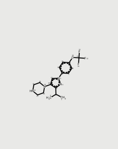 CC(C)c1nn(-c2ccc(OC(F)(F)F)cc2)cc1N1CCNCC1